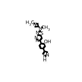 CN1CC(N(C)c2nc3nnc(-c4ccc(-c5cn[nH]c5)cc4O)cc3s2)C1